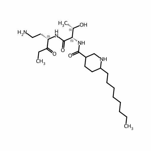 CCCCCCCCC1CCC(C(=O)N[C@H](C(=O)N[C@@H](CCN)C(=O)CC)[C@H](C)O)CN1